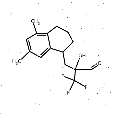 Cc1cc(C)c2c(c1)C(CC(O)(C=O)C(F)(F)F)CCC2